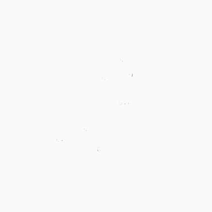 COCCN(CCCOc1cc2ncc(C#N)c(Nc3cc(OC)c(Cl)cc3Cl)c2cc1OC)CCOC